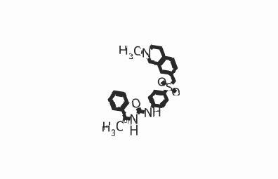 C[C@H](NC(=O)Nc1ccc(S(=O)(=O)Cc2ccc3c(c2)CN(C)CC3)cc1)c1ccccc1